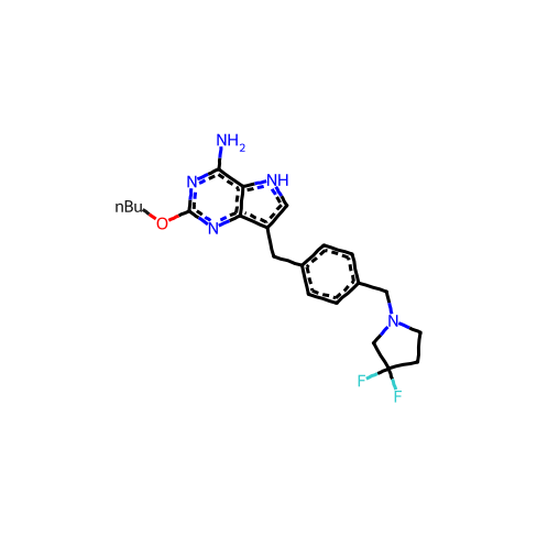 CCCCOc1nc(N)c2[nH]cc(Cc3ccc(CN4CCC(F)(F)C4)cc3)c2n1